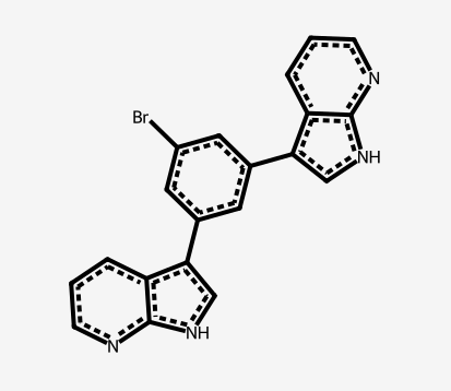 Brc1cc(-c2c[nH]c3ncccc23)cc(-c2c[nH]c3ncccc23)c1